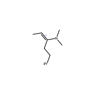 C/C=C(\CCC(C)C)N(C)C